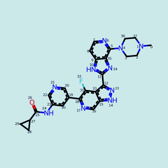 CN1CCN(c2nccc3[nH]c(-c4n[nH]c5cnc(-c6cncc(NC(=O)C7CC7)c6)c(F)c45)nc23)CC1